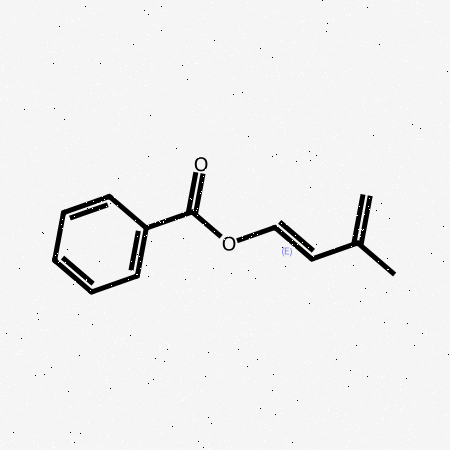 C=C(C)/C=C/OC(=O)c1ccccc1